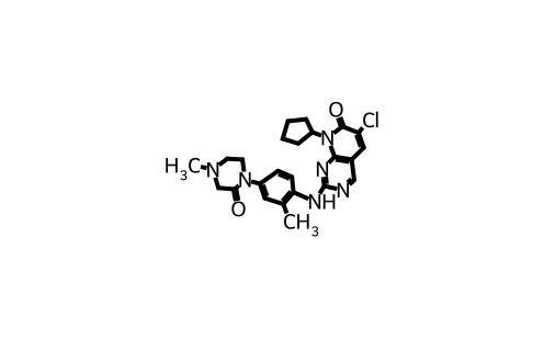 Cc1cc(N2CCN(C)CC2=O)ccc1Nc1ncc2cc(Cl)c(=O)n(C3CCCC3)c2n1